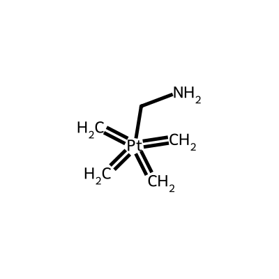 [CH2]=[Pt](=[CH2])(=[CH2])(=[CH2])[CH2]N